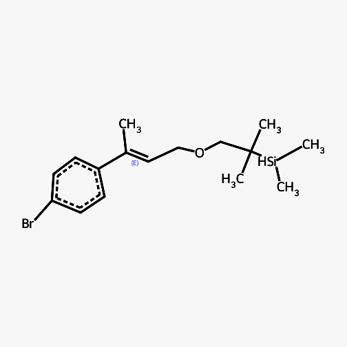 C/C(=C\COCC(C)(C)[SiH](C)C)c1ccc(Br)cc1